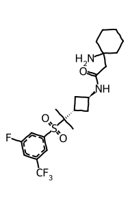 CC(C)([C@H]1C[C@H](NC(=O)CC2(N)CCCCC2)C1)S(=O)(=O)c1cc(F)cc(C(F)(F)F)c1